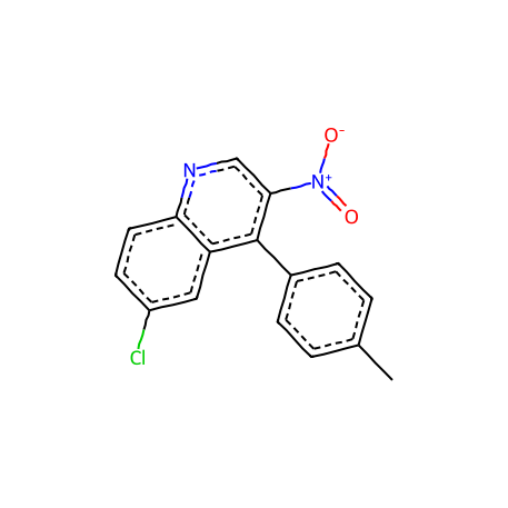 Cc1ccc(-c2c([N+](=O)[O-])cnc3ccc(Cl)cc23)cc1